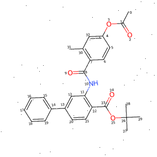 CC(=O)Oc1ccc(C(=O)Nc2cc(-c3ccccc3)ccc2C(=O)OC(C)(C)C)c(C)c1